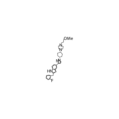 COCCCN1CCN([C@H]2CC[C@@H](n3ccc(-c4ccc5[nH]c(Cc6ccccc6F)cc5c4)n3)CC2)CC1